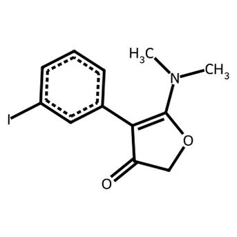 CN(C)C1=C(c2cccc(I)c2)C(=O)CO1